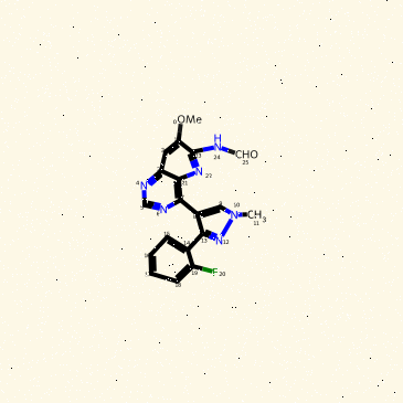 COc1cc2ncnc(-c3cn(C)nc3-c3ccccc3F)c2nc1NC=O